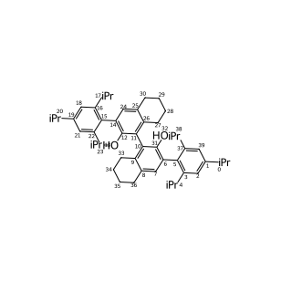 CC(C)c1cc(C(C)C)c(-c2cc3c(c(-c4c(O)c(-c5c(C(C)C)cc(C(C)C)cc5C(C)C)cc5c4CCCC5)c2O)CCCC3)c(C(C)C)c1